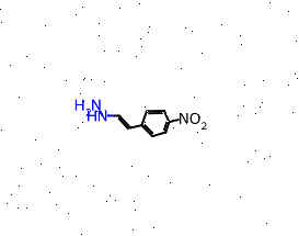 NNC=Cc1ccc([N+](=O)[O-])cc1